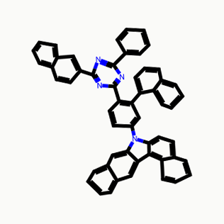 c1ccc(-c2nc(-c3ccc4ccccc4c3)nc(-c3ccc(-n4c5cc6ccccc6cc5c5c6ccccc6ccc54)cc3-c3cccc4ccccc34)n2)cc1